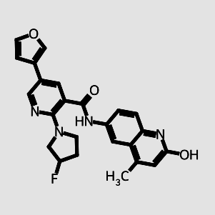 Cc1cc(O)nc2ccc(NC(=O)c3cc(-c4ccoc4)cnc3N3CCC(F)C3)cc12